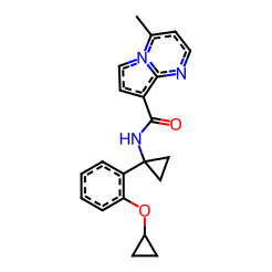 Cc1ccnc2c(C(=O)NC3(c4ccccc4OC4CC4)CC3)ccn12